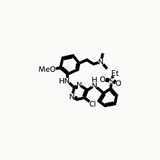 CCS(=O)(=O)c1ccccc1Nc1nc(Nc2cc(CCN(C)C)ccc2OC)ncc1Cl